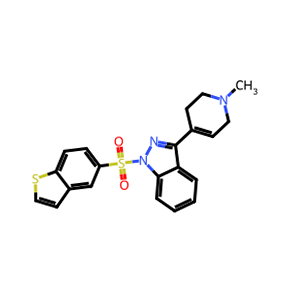 CN1CC=C(c2nn(S(=O)(=O)c3ccc4sccc4c3)c3ccccc23)CC1